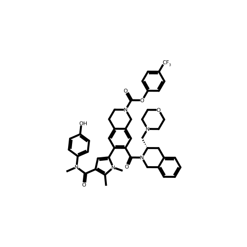 Cc1c(C(=O)N(C)c2ccc(O)cc2)cc(-c2cc3c(cc2C(=O)N2Cc4ccccc4C[C@H]2CN2CCOCC2)CN(C(=O)Oc2ccc(C(F)(F)F)cc2)CC3)n1C